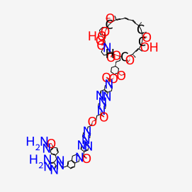 CO[C@H]1CC2CC[C@@H](C)[C@@](O)(O2)C(=O)C(=O)N2CCCC[C@H]2C(=O)O[C@H](CC[C@@H]2CC[C@@H](OC(=O)N3CCc4nc(N5CCN(C(=O)CCOCCN6CCN(c7ncc(C(=O)N8CCc9cc(Cn%10nc(-c%11ccc%12oc(N)nc%12c%11)c%11c(N)ncnc%11%10)ccc9C8)cn7)CC6)CC5)ncc4C3)[C@H](OC)C2)C[C@@H](OC)[C@H](C)/C=C(\C)[C@@H](O)CC(=O)[C@H](C)C[C@H](C)/C=C/C=C/C=C/1C